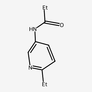 CCC(=O)Nc1ccc(CC)nc1